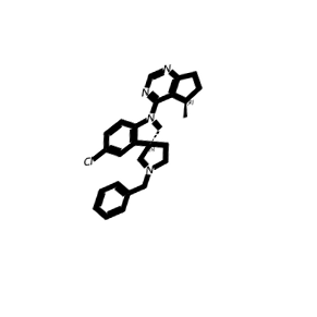 C[C@@H]1CCc2ncnc(N3C[C@@]4(CCN(Cc5ccccc5)C4)c4cc(Cl)ccc43)c21